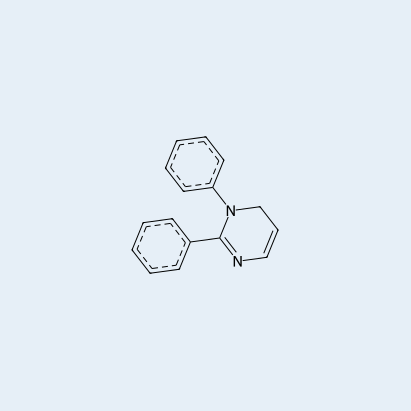 C1=CN=C(c2ccccc2)N(c2ccccc2)C1